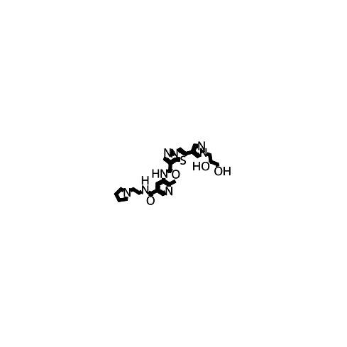 Cc1ncc(C(=O)NCCN2CCCC2)cc1NC(=O)c1cnn2cc(-c3cnn(CC(O)CO)c3)sc12